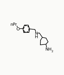 CCCOc1ccc(CNCC2CCC(N)CC2)cc1